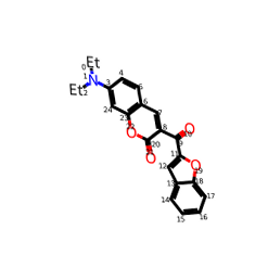 CCN(CC)c1ccc2cc(C(=O)c3cc4ccccc4o3)c(=O)oc2c1